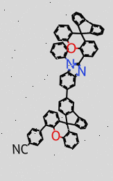 N#Cc1ccc(-c2cccc3c2Oc2ccccc2C32c3ccccc3-c3cc(-c4ccc5c(c4)nc(-c4cccc6c4Oc4ccccc4C64c6ccccc6-c6ccccc64)n5-c4ccccc4)ccc32)cc1